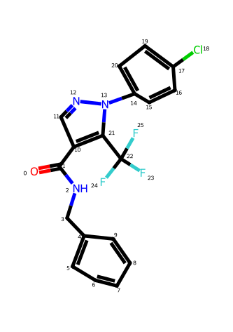 O=C(NCc1ccccc1)c1cnn(-c2ccc(Cl)cc2)c1C(F)(F)F